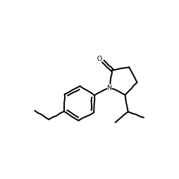 CCc1ccc(N2C(=O)CCC2C(C)C)cc1